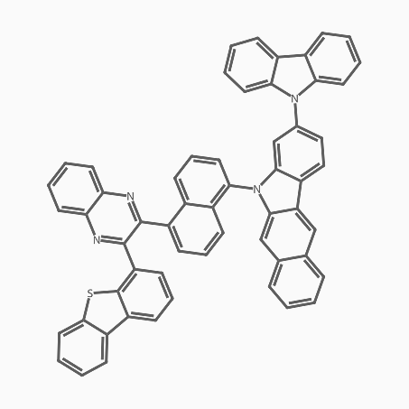 c1ccc2cc3c(cc2c1)c1ccc(-n2c4ccccc4c4ccccc42)cc1n3-c1cccc2c(-c3nc4ccccc4nc3-c3cccc4c3sc3ccccc34)cccc12